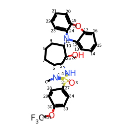 CN=S(=O)(N[C@@H]1CCCC[C@H](N2c3ccccc3Oc3ccccc32)[C@H]1O)c1ccc(OC(F)(F)F)cc1